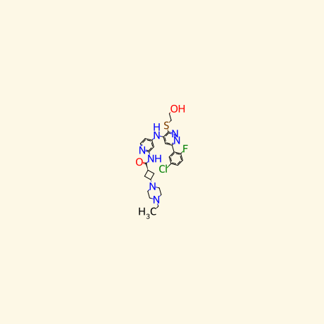 CCN1CCN([C@H]2C[C@H](C(=O)Nc3cc(Nc4cc(-c5cc(Cl)ccc5F)nnc4SCCO)ccn3)C2)CC1